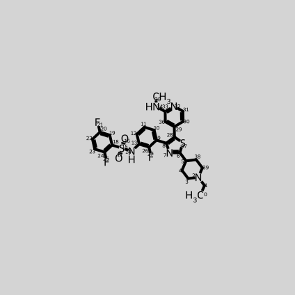 CCN1CCC(c2nc(-c3cccc(NS(=O)(=O)c4cc(F)ccc4F)c3F)c(-c3ccnc(NC)c3)s2)CC1